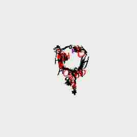 C=C1[C@H](C)CC2CC[C@@H]3O[C@@H](CCC/C=C/C(O[Si](C)(C)C(C)(C)C)[C@@H]4O[C@H]5CC[C@H](CC(=O)C[C@H]6[C@H](C[C@H]1OC(C)=O)OC(C[C@@H](CO[Si](C)(C)C(C)(C)C)O[Si](C)(C)C(C)(C)C)[C@@H]6OC)O[C@@H]5[C@H](O)C4O[Si](C)(C)C(C)(C)C)CC3(CI)O2